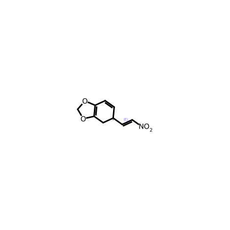 O=[N+]([O-])/C=C/[C]1C=CC2=C(C1)OCO2